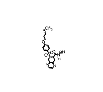 CSCCCOc1ccc(S(=O)(=O)N2Cc3nccnc3CC2C(=O)NO)cc1